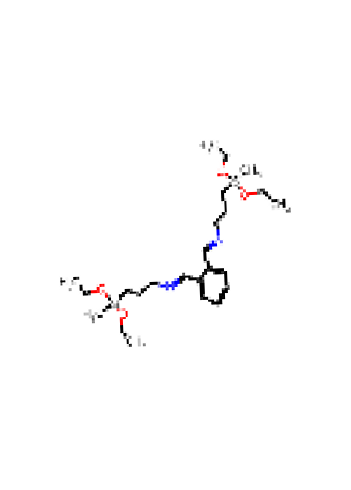 CCO[Si](C)(CCC/N=C/c1ccccc1/C=N/CCC[Si](C)(OCC)OCC)OCC